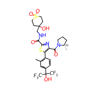 Cc1cc(C(O)(C(F)(F)F)C(F)(F)F)ccc1-c1sc(C(=O)NCC2(O)CCS(=O)(=O)CC2)nc1C(=O)N1CCC[C@@H]1C